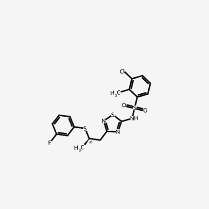 Cc1c(Cl)cccc1S(=O)(=O)Nc1nc(C[C@@H](C)Sc2cccc(F)c2)ns1